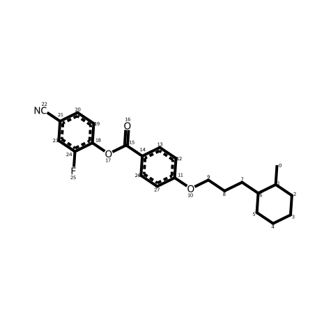 CC1CCCCC1CCCOc1ccc(C(=O)Oc2ccc(C#N)cc2F)cc1